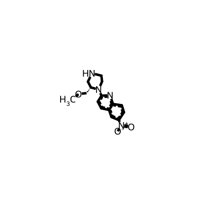 COC[C@@H]1CNCCN1c1ccc2cc([N+](=O)[O-])ccc2n1